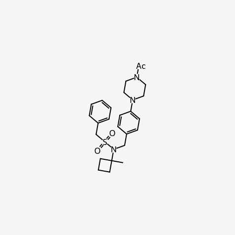 CC(=O)N1CCN(c2ccc(CN(C3(C)CCC3)S(=O)(=O)Cc3ccccc3)cc2)CC1